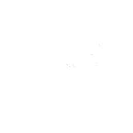 Brc1ccc2sc(Cc3ccccc3)nc2c1